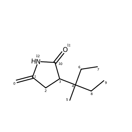 C=C1CC(C(C)(CC)CC)C(=O)N1